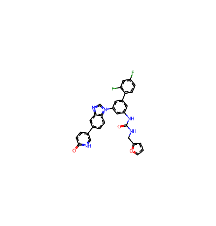 O=C(NCc1ccco1)Nc1cc(-c2ccc(F)cc2F)cc(-n2cnc3cc(-c4ccc(=O)[nH]c4)ccc32)c1